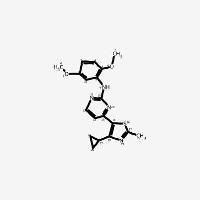 COc1ccc(OC)c(Nc2nccc(-c3sc(C)nc3C3CC3)n2)c1